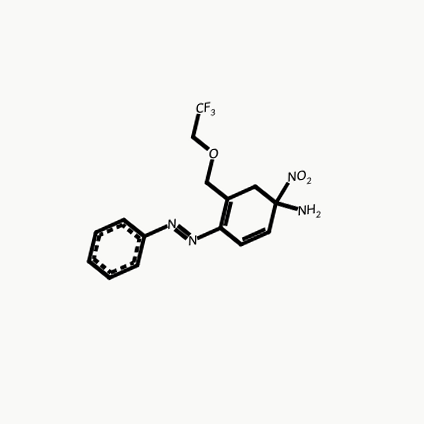 NC1([N+](=O)[O-])C=CC(N=Nc2ccccc2)=C(COCC(F)(F)F)C1